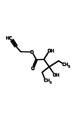 C#CCOC(=O)C(O)C(O)(CC)CC